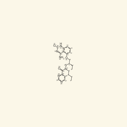 CCCCN(S[C@H](CC)COc1cccc2c1C(N)=N[S+]([O-])N2)C(=O)c1ccncn1